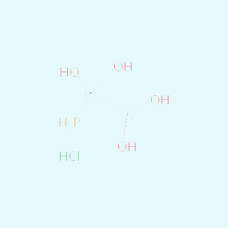 Cl.OC(O)C(O)(O)P